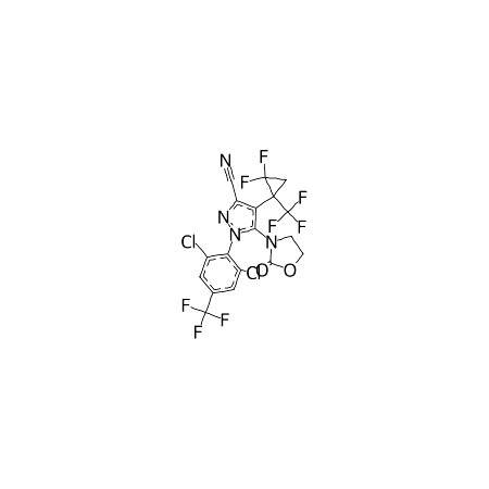 N#Cc1nn(-c2c(Cl)cc(C(F)(F)F)cc2Cl)c(N2CCOC2=O)c1C1(C(F)(F)F)CC1(F)F